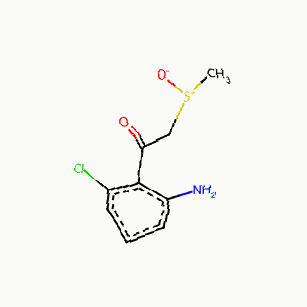 C[S+]([O-])CC(=O)c1c(N)cccc1Cl